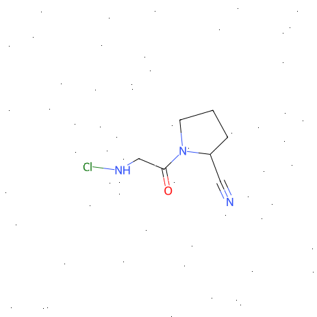 N#CC1CCCN1C(=O)CNCl